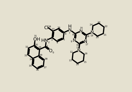 O=C(Nc1ccc(Nc2nc(N3CCCCC3)nc(N3CCCCC3)n2)cc1Cl)c1c(O)ccc2ccccc12